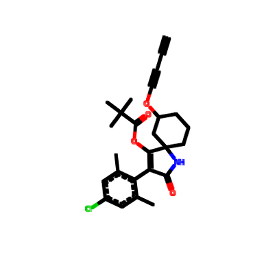 C#CC#COC1CCCC2(C1)NC(=O)C(c1c(C)cc(Cl)cc1C)=C2OC(=O)C(C)(C)C